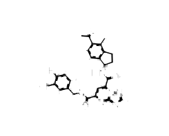 CC(=O)c1ccc2c(c1C)CC[C@@H]2NC(=O)c1cc(C(=O)NCc2ccc(F)c(Cl)c2)nc2ncnn12